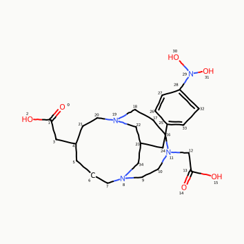 O=C(O)CC1CCCN2CCN(CC(=O)O)CCCN(CC1)CC(Cc1ccc(N(O)O)cc1)C2